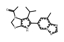 CC(=O)N1CSc2[nH]c(-c3cc(C)c4ncnn4c3)c(C(C)C)c21